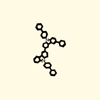 C1=CC2C3C=C(C4CCC5C(C4)C4C=C(C6CC=CCC6)C=CC4N5C4CCC(C5CC=CCC5)CC4)CCC3N(C3CC=C(C4CC=CCC4)CC3)C2C=C1